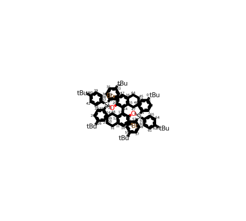 CC(C)(C)c1ccc([Si](Oc2c(Br)cc3c(c2-c2c4c(cc(Br)c2O[Si](c2ccc(C(C)(C)C)cc2)(c2ccc(C(C)(C)C)cc2)c2ccc(C(C)(C)C)cc2)CCCC4)CCCC3)(c2ccc(C(C)(C)C)cc2)c2ccc(C(C)(C)C)cc2)cc1